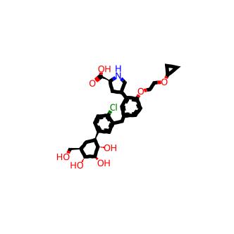 O=C(O)[C@@H]1CC(c2cc(Cc3cc([C@@H]4C[C@H](CO)[C@@H](O)[C@H](O)[C@H]4O)ccc3Cl)ccc2OCCOC2CC2)CN1